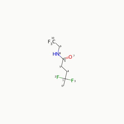 CC(F)(F)CCC(=O)NCC(F)(F)F